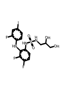 O=S(=O)(NCC(O)CO)Nc1ccc(F)c(F)c1Nc1ccc(I)cc1F